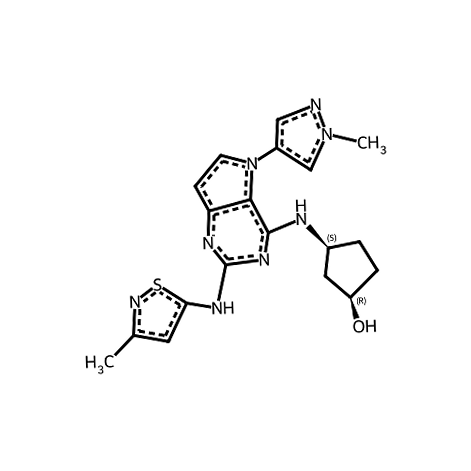 Cc1cc(Nc2nc(N[C@H]3CC[C@@H](O)C3)c3c(ccn3-c3cnn(C)c3)n2)sn1